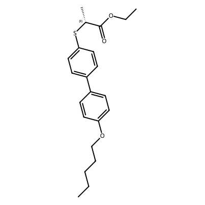 CCCCCOc1ccc(-c2ccc(S[C@H](C)C(=O)OCC)cc2)cc1